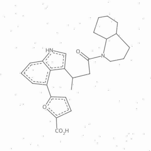 CC(CC(=O)N1CCCC2CCCCC21)c1c[nH]c2cccc(-c3ccc(C(=O)O)o3)c12